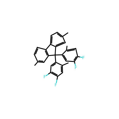 Cc1ccc2c(c1)C(c1cc(F)c(F)cc1C)(c1cc(F)c(F)cc1C)c1cc(C)ccc1-2